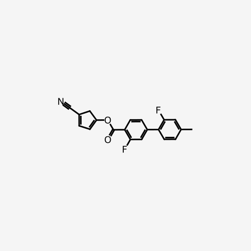 Cc1ccc(-c2ccc(C(=O)OC3=CC=C(C#N)C3)c(F)c2)c(F)c1